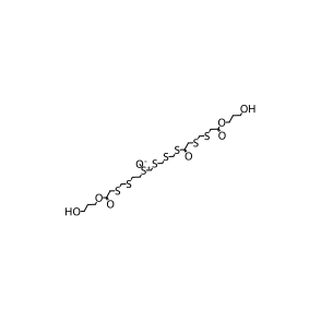 O=C(CSCSCC[S+]([O-])CSCSCSC(=O)CSCSCC(=O)OCCCO)OCCCO